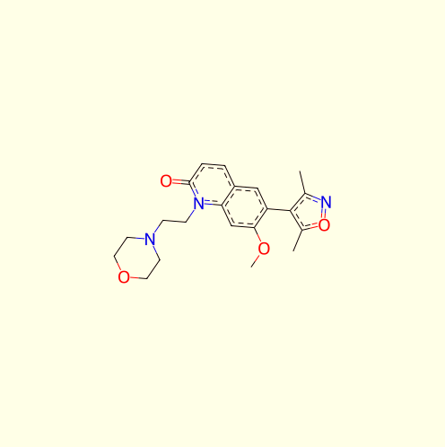 COc1cc2c(ccc(=O)n2CCN2CCOCC2)cc1-c1c(C)noc1C